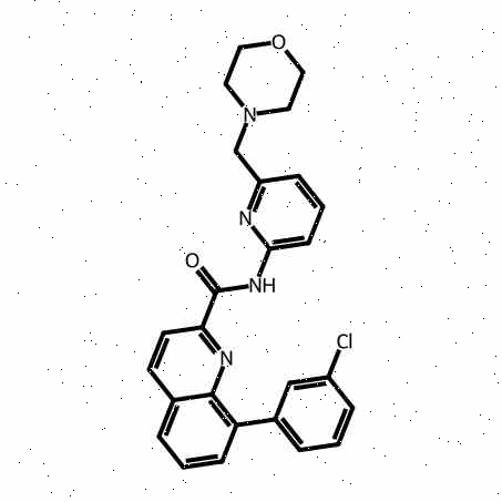 O=C(Nc1cccc(CN2CCOCC2)n1)c1ccc2cccc(-c3cccc(Cl)c3)c2n1